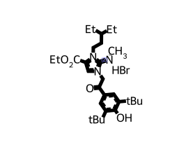 Br.CCOC(=O)c1cn(CC(=O)c2cc(C(C)(C)C)c(O)c(C(C)(C)C)c2)/c(=N/C)n1CCC(CC)CC